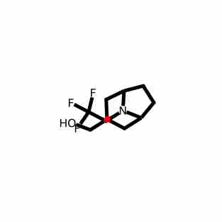 OCC1CC2CCC(C1)N2CC(F)(F)F